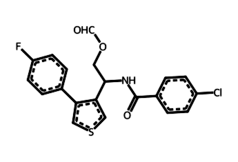 O=COCC(NC(=O)c1ccc(Cl)cc1)c1cscc1-c1ccc(F)cc1